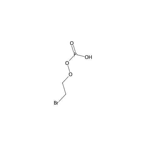 O=[P](O)OOCCBr